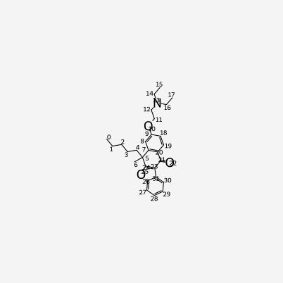 CCCCCC1(C)c2cc(OCCN(CC)CC)ccc2C(=O)c2c1oc1ccccc21